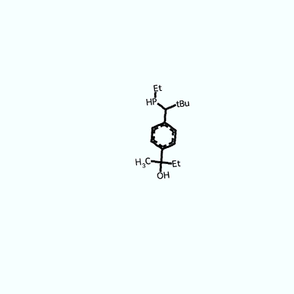 CCPC(c1ccc(C(C)(O)CC)cc1)C(C)(C)C